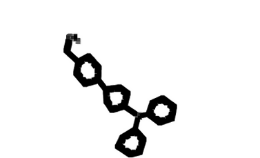 C=Cc1ccc(-c2ccc(N(c3ccccc3)c3ccccc3)cc2)cc1